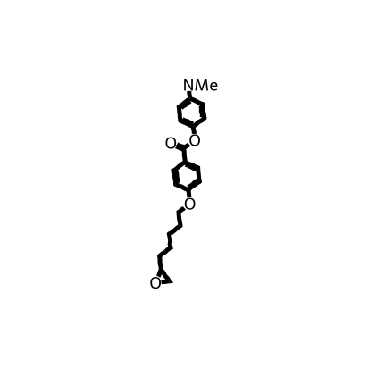 CNc1ccc(OC(=O)c2ccc(OCCCCCC3CO3)cc2)cc1